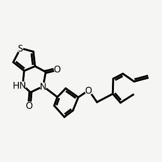 C=C/C=C\C(=C/C)COc1cccc(-n2c(=O)[nH]c3cscc3c2=O)c1